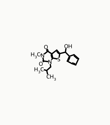 CC(C)Cn1c(=O)n(C)c(=O)c2cc(C(O)c3ccccc3)sc21